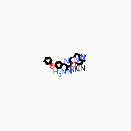 CN(C)C(C)(C)/C=C(/C#N)C(=O)N1CCC[C@@H]1Cc1cc2[nH]nc(N)c2c(-c2ccc(Oc3ccccc3)cc2)n1